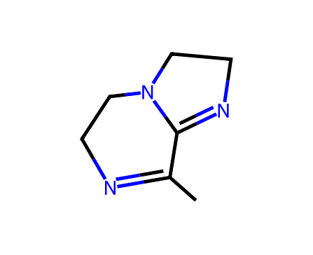 CC1=NCCN2CCN=C12